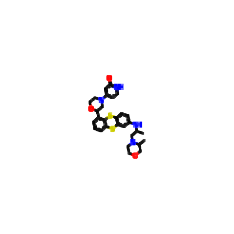 CC(CN1CCOCC1C)Nc1ccc2c(c1)Sc1cccc(C3CN(c4cc[nH]c(=O)c4)CCO3)c1S2